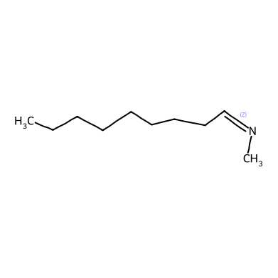 CCCCCCCC/C=N\C